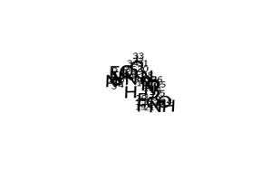 CCn1nccc1C(=O)N[C@H](c1cn2nc(CC3CC(F)(F)CNC3=O)ccc2n1)[C@H]1CC[C@H](C)CC1